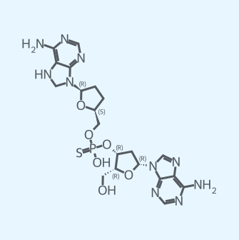 Nc1ncnc2c1NCN2[C@H]1CC[C@@H](COP(O)(=S)O[C@@H]2C[C@H](n3cnc4c(N)ncnc43)O[C@@H]2CO)O1